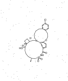 CC[C@@]1(O)CCC[C@H](C)[C@@H](C)S(=O)(=O)NC(=O)c2ccc3c(c2)N(CCCCc2cc(Cl)ccc2CCO3)C[C@@H]2CC[C@H]21